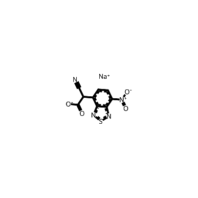 N#CC(C(=O)[O-])c1ccc([N+](=O)[O-])c2nsnc12.[Na+]